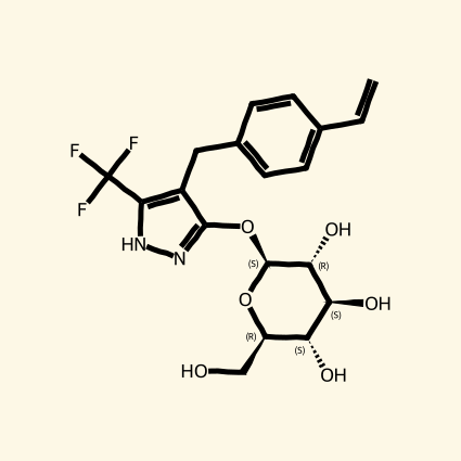 C=Cc1ccc(Cc2c(O[C@@H]3O[C@H](CO)[C@@H](O)[C@H](O)[C@H]3O)n[nH]c2C(F)(F)F)cc1